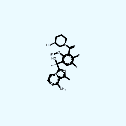 Cc1nc([C@@](C)(O)c2cc(Cl)c(F)c(C(=O)N3CCC[C@H](O)C3)c2OC(C)C)n2ccnc(N)c12